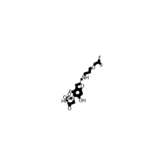 O=C1CN(c2c(O)cc3c(c2F)C[C@H](CNCCCOCC(F)F)O3)S(=O)(=O)N1